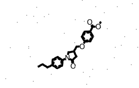 CCCc1ccc(N2CC(COc3ccc(C(=O)OC)cc3)CC2=O)cc1